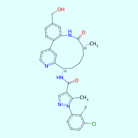 Cc1c(C(=O)N[C@H]2CCC[C@@H](C)C(=O)Nc3cc(CO)ccc3-c3ccnc2c3)cnn1-c1cccc(Cl)c1F